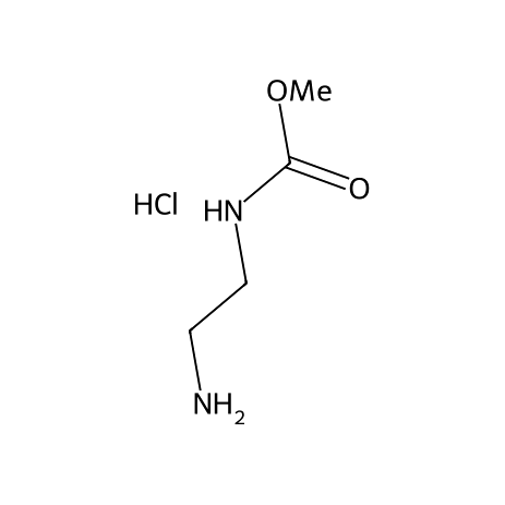 COC(=O)NCCN.Cl